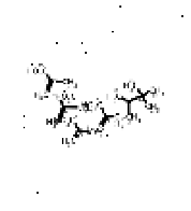 C=C(C)C(=O)O.C=C(C)C(=O)O.C=C(C)C(=O)O.C=C(C)C(=O)O.CC(C)C(C)(C)C